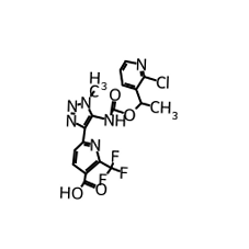 CC(OC(=O)Nc1c(-c2ccc(C(=O)O)c(C(F)(F)F)n2)nnn1C)c1cccnc1Cl